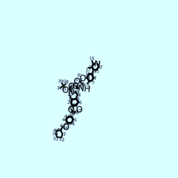 COC(=O)[C@H](Cc1ccc(-c2ccnc(C)c2C)cc1)NC(=O)[C@@H]1Cc2cc3c(cc2CN1C(=O)OC(C)(C)C)O[C@@H](c1ccc(OCC2CCCCC2)cc1)CO3